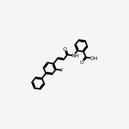 O=C(C=Cc1ccc(-c2ccccc2)cc1F)Nc1ccccc1C(=O)O